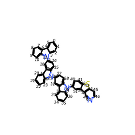 c1ccc2c(c1)c1ccccc1n2-c1ccc2c(c1)c1ccccc1n2-c1ccc2c(c1)c1ccccc1n2-c1ccc2sc3ccncc3c2c1